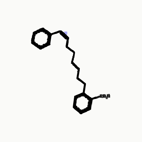 O=C(O)c1ccccc1CCCCCC/C=C\c1ccccc1